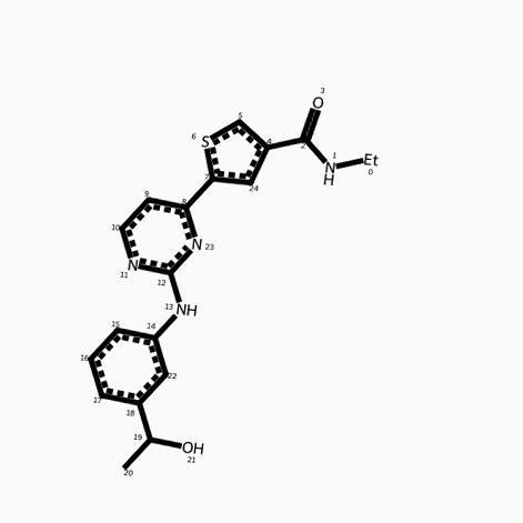 CCNC(=O)c1csc(-c2ccnc(Nc3cccc(C(C)O)c3)n2)c1